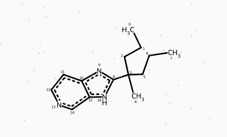 CCCC(C)(CCC)c1nc2ccncc2[nH]1